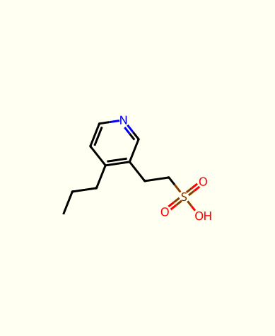 CCCc1ccncc1CCS(=O)(=O)O